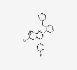 CC(C)c1nc(-c2ccccc2Cc2ccccc2)cc(-c2ccc(F)cc2)c1C=C(Br)Br